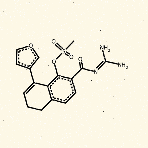 CS(=O)(=O)Oc1c(C(=O)N=C(N)N)ccc2c1C(c1ccoc1)=CCC2